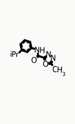 Cc1nnc(C(=O)Nc2cccc(C(C)C)c2)o1